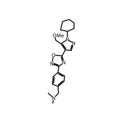 COCc1c(-c2nc(-c3ccc(CN(C)C)cc3)no2)cnn1C1CCCCC1